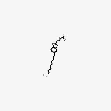 CCCCCCCCCCc1ccc2oc(CCNC(=O)O)nc2c1